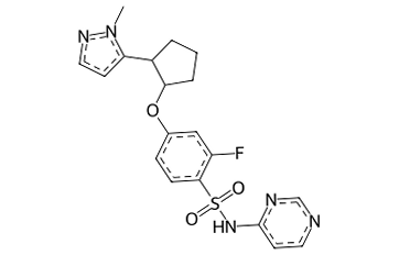 Cn1nccc1C1CCCC1Oc1ccc(S(=O)(=O)Nc2ccncn2)c(F)c1